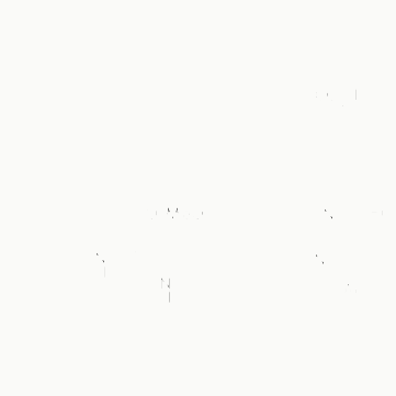 CCN(CCCC(=O)O)N(C(C)=O)c1ccc(NC(=O)Nc2ccccc2C)c(OC)c1